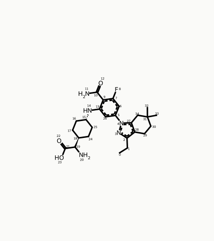 CCc1nn(-c2cc(F)c(C(N)=O)c(N[C@H]3CC[C@H](C(N)C(=O)O)CC3)c2)c2c1CCC(C)(C)C2